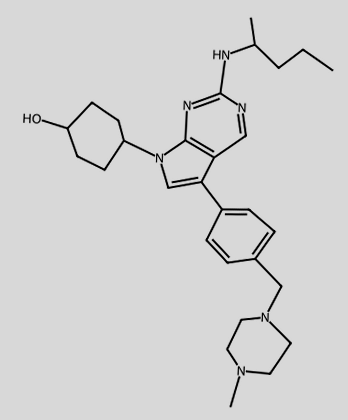 CCCC(C)Nc1ncc2c(-c3ccc(CN4CCN(C)CC4)cc3)cn(C3CCC(O)CC3)c2n1